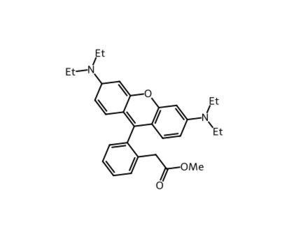 CCN(CC)c1ccc2c(c1)OC1=CC(N(CC)CC)C=CC1=C2c1ccccc1CC(=O)OC